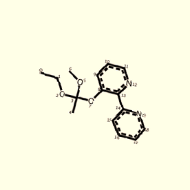 CCOC(C)(OC)Oc1cccnc1-c1ccccn1